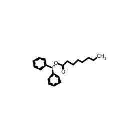 CCCCCCCC(=O)O[I+](c1ccccc1)c1ccccc1